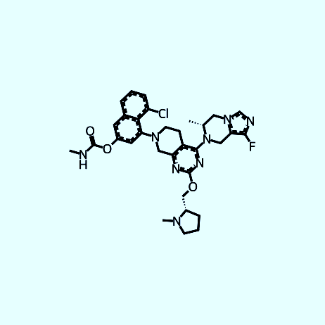 CNC(=O)Oc1cc(N2CCc3c(nc(OC[C@@H]4CCCN4C)nc3N3Cc4c(F)ncn4C[C@H]3C)C2)c2c(Cl)cccc2c1